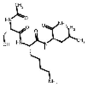 CC(=O)N[C@@H](CO)C(=O)N[C@@H](CCCCN)C(=O)N[C@H](CC(C)C)C(N)=O